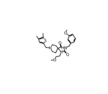 COCCN(C(=O)NCc1cccc(OC)c1)C1(C=O)CCN(Cc2cc(C)c(C)s2)CC1